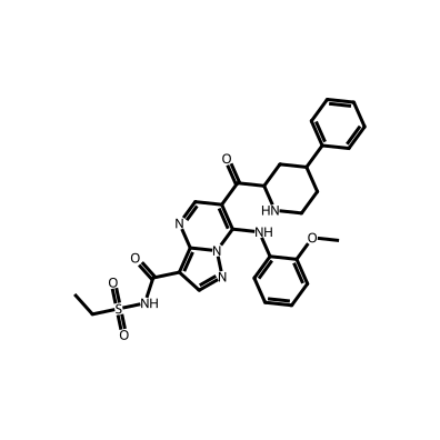 CCS(=O)(=O)NC(=O)c1cnn2c(Nc3ccccc3OC)c(C(=O)C3CC(c4ccccc4)CCN3)cnc12